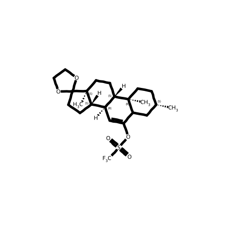 C[C@H]1CC[C@@]2(C)C(C1)C(OS(=O)(=O)C(F)(F)F)=C[C@@H]1[C@@H]2CC[C@@]2(C)[C@H]1CCC21OCCO1